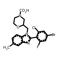 Cc1ccc2c(c1)nc(-c1c(F)cc(Br)cc1Cl)n2CC1CN(C(=O)O)CCO1